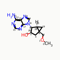 COC[C@@]12C[C@@H](O)[C@H](n3cnc4c(N)ncnc43)[C@H]1C2